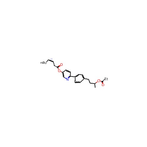 CCCC/C=C\CC(=O)Oc1ccc(-c2ccc(CCC(C)OC(=O)CC)cc2)nc1